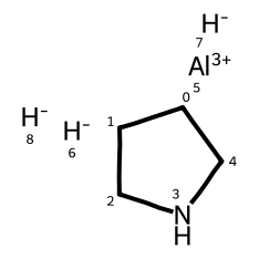 C1CCNC1.[Al+3].[H-].[H-].[H-]